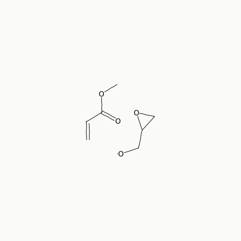 C=CC(=O)OC.[O]CC1CO1